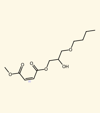 CCCCOCC(O)COC(=O)/C=C\C(=O)OC